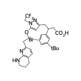 CC(C)(C)c1cc(Br)cc(C(CC(=O)O)Cc2cc(OCCc3ccc4c(n3)NCCC4)n(CC(F)(F)F)n2)c1